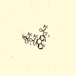 CC(=O)CC(=O)C(F)(F)F.CC(=O)CC(=O)C(F)(F)F.CC(=O)CC(=O)C(F)(F)F.[Eu].c1cnc2c(c1)ccc1cccnc12